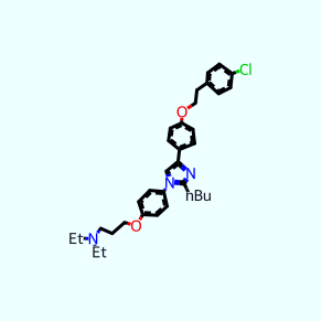 CCCCc1nc(-c2ccc(OCCc3ccc(Cl)cc3)cc2)cn1-c1ccc(OCCCN(CC)CC)cc1